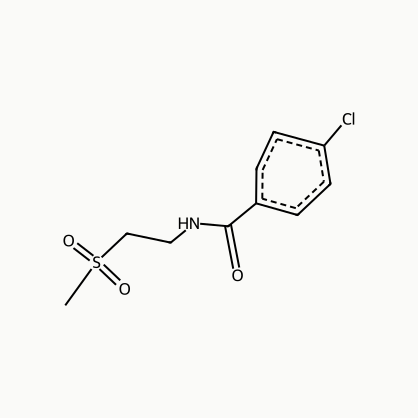 CS(=O)(=O)CCNC(=O)c1ccc(Cl)cc1